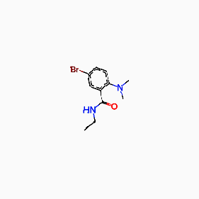 CCNC(=O)c1cc(Br)ccc1N(C)C